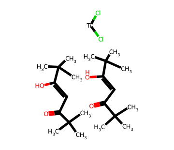 CC(C)(C)C(=O)C=C(O)C(C)(C)C.CC(C)(C)C(=O)C=C(O)C(C)(C)C.[Cl][Ti][Cl]